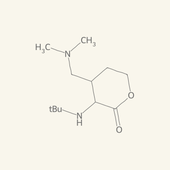 CN(C)CC1CCOC(=O)C1NC(C)(C)C